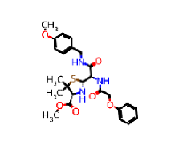 COC(=O)[C@@H]1N[C@@H]([C@H](NC(=O)COc2ccccc2)C(=O)NCc2ccc(OC)cc2)SC1(C)C